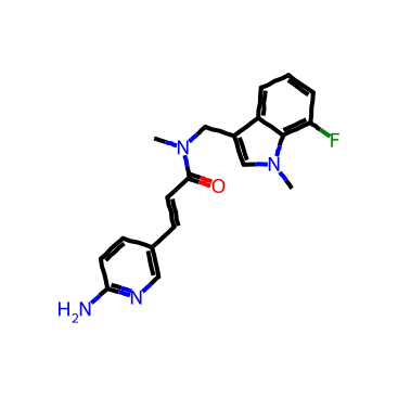 CN(Cc1cn(C)c2c(F)cccc12)C(=O)/C=C/c1ccc(N)nc1